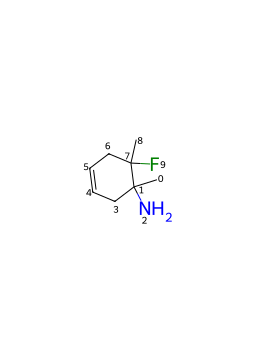 CC1(N)CC=CCC1(C)F